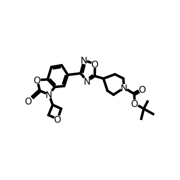 CC(C)(C)OC(=O)N1CCC(c2nc(-c3ccc4oc(=O)n(C5COC5)c4c3)no2)CC1